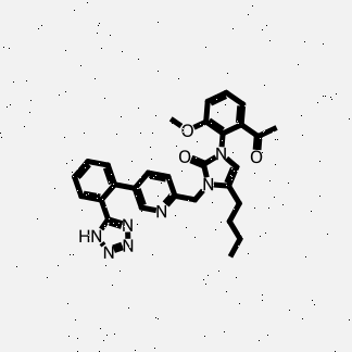 CCCCc1cn(-c2c(OC)cccc2C(C)=O)c(=O)n1Cc1ccc(-c2ccccc2-c2nnn[nH]2)cn1